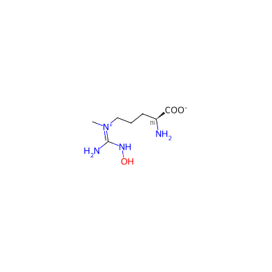 C[N+](CCC[C@H](N)C(=O)[O-])=C(N)NO